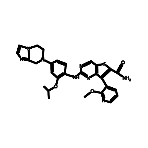 COc1ncccc1-c1c(C(N)=O)sc2cnc(Nc3ccc(N4CCn5ccnc5C4)cc3OC(C)C)nc12